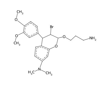 COc1ccc(C2c3ccc(N(C)C)cc3OC(OCCCN)C2Br)cc1OC